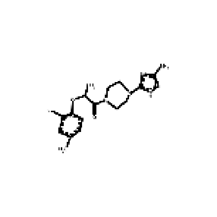 Cc1ccc(OC(C)C(=O)N2CCN(c3nc(N)n[nH]3)CC2)c(Cl)c1